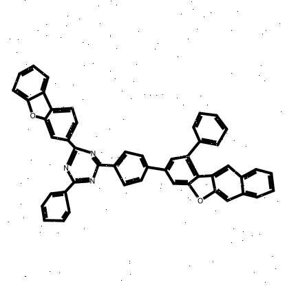 c1ccc(-c2nc(-c3ccc(-c4cc(-c5ccccc5)c5c(c4)oc4cc6ccccc6cc45)cc3)nc(-c3ccc4c(c3)oc3ccccc34)n2)cc1